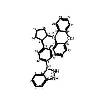 c1ccc2c(c1)NNN2c1ccc(C2CCCC2N2c3ccccc3Oc3ccccc32)cc1